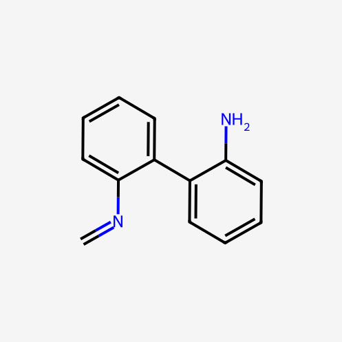 C=Nc1ccccc1-c1ccccc1N